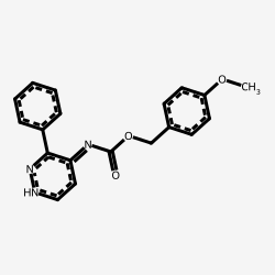 COc1ccc(COC(=O)N=c2cc[nH]nc2-c2ccccc2)cc1